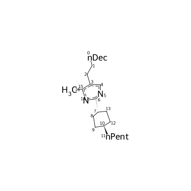 CCCCCCCCCCCCc1cnc([C@H]2CC[C@H](CCCCC)CC2)nc1C